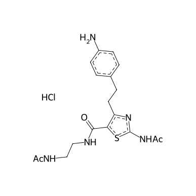 CC(=O)NCCNC(=O)c1sc(NC(C)=O)nc1CCc1ccc(N)cc1.Cl